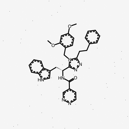 COc1ccc(Cn2c(CCc3ccccc3)nnc2[C@@H](Cc2c[nH]c3ccccc23)NC(=O)c2ccnnc2)c(OC)c1